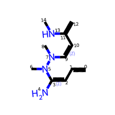 C=C/C=C(/N)N(C)N(C)/C=C\C(=C)NC